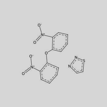 O=[N+]([O-])c1ccccc1Oc1ccccc1[N+](=O)[O-].c1csnn1